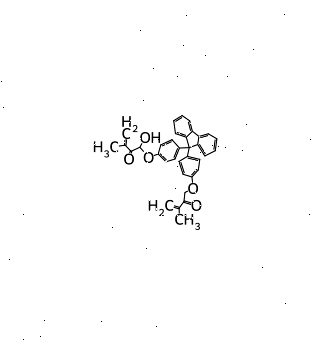 C=C(C)C(=O)COc1ccc(C2(c3ccc(OC(O)C(=O)C(=C)C)cc3)c3ccccc3-c3ccccc32)cc1